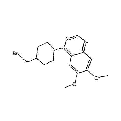 COc1cc2ncnc(N3CCC(CBr)CC3)c2cc1OC